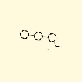 COC(=O)c1cc(-c2ccc(-c3ccccc3)cc2)ccn1